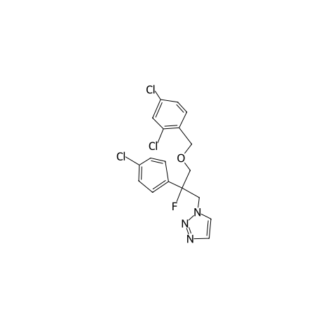 FC(COCc1ccc(Cl)cc1Cl)(Cn1ccnn1)c1ccc(Cl)cc1